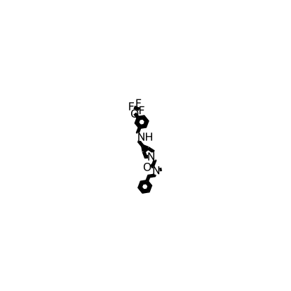 CN(CCc1ccccc1)C(=O)CN1CC2C(CNCc3cccc(OC(F)(F)F)c3)C2C1